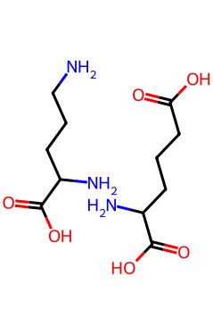 NC(CCCC(=O)O)C(=O)O.NCCCC(N)C(=O)O